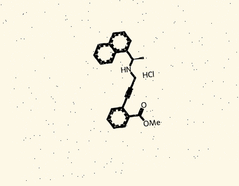 COC(=O)c1ccccc1C#CCN[C@H](C)c1cccc2ccccc12.Cl